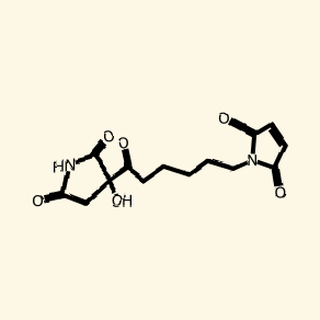 O=C1CC(O)(C(=O)CCCCCN2C(=O)C=CC2=O)C(=O)N1